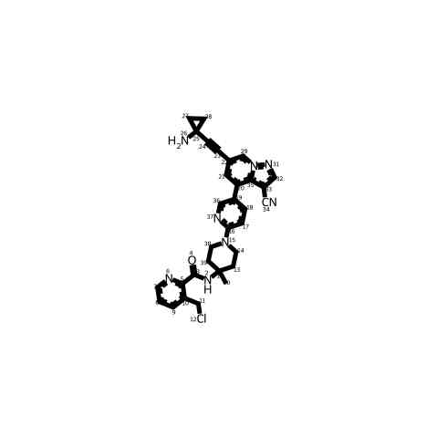 CC1(NC(=O)c2ncccc2CCl)CCN(c2ccc(-c3cc(C#CC4(N)CC4)cn4ncc(C#N)c34)cn2)CC1